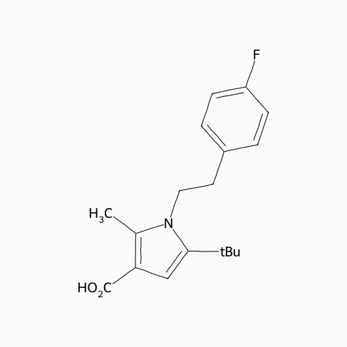 Cc1c(C(=O)O)cc(C(C)(C)C)n1CCc1ccc(F)cc1